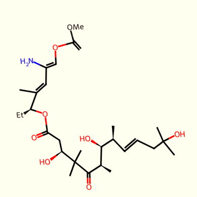 C=C(OC)O/C=C(N)/C=C(\C)[C@H](CC)OC(=O)C[C@H](O)C(C)(C)C(=O)[C@H](C)[C@@H](O)[C@@H](C)/C=C/CC(C)(C)O